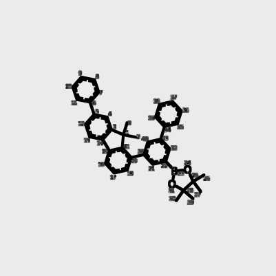 CC1(C)c2cc(-c3ccccc3)ccc2-c2cccc(-c3cc(B4OC(C)(C)C(C)(C)O4)cc(-c4ccccc4)c3)c21